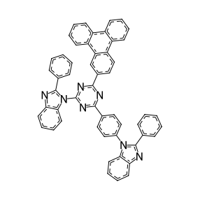 c1ccc(-c2nc3ccccc3n2-c2ccc(-c3nc(-c4ccc5c6ccccc6c6ccccc6c5c4)nc(-n4c(-c5ccccc5)nc5ccccc54)n3)cc2)cc1